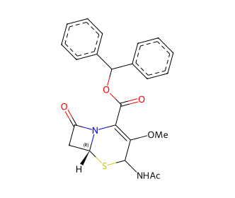 COC1=C(C(=O)OC(c2ccccc2)c2ccccc2)N2C(=O)C[C@H]2SC1NC(C)=O